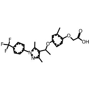 Cc1cc(OC(C)c2c(C)nn(-c3ccc(C(F)(F)F)cc3)c2C)ccc1OCC(=O)O